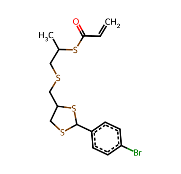 C=CC(=O)SC(C)CSCC1CSC(c2ccc(Br)cc2)S1